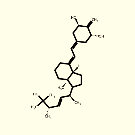 C=C1[C@H](O)CC(=C/C=C2\CCC[C@]3(C)C([C@@H](C)/C=C/[C@H](C)C(C)(C)O)CC[C@@H]23)C[C@H]1O